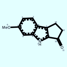 COc1ccc2c3c([nH]c2c1)C(=O)CC3